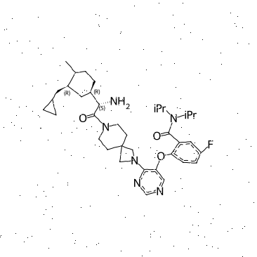 CC1CC[C@@H]([C@H](N)C(=O)N2CCC3(CC2)CN(c2ncncc2Oc2ccc(F)cc2C(=O)N(C(C)C)C(C)C)C3)C[C@H]1CC1CC1